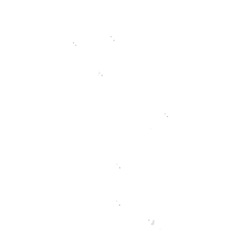 Cc1ccc2c(Nc3nccs3)nccc2c1NC(=O)c1csc2c(N)ncnc12